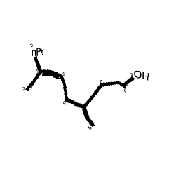 CCCC(C)=CCC(C)CCO